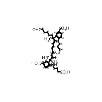 CC1(CCCCCC=O)/C(=C/C=C/C=C/C(I)C(C)(C)c2cc(S(=O)(=O)O)ccc2NCCCS(=O)(=O)O)N(CCCS(=O)(=O)O)c2ccc(S(=O)(=O)O)cc21